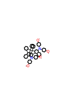 COc1ccc(N(c2ccc(OC)cc2)c2cc3c(c4ccccc24)-c2ccccc2C3(c2ccccc2)C2(c3ccccc3)c3ccccc3-c3c2cc(N(c2ccc(OC)cc2)c2ccc(OC)cc2)c2ccccc32)cc1